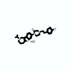 CC(C)N1CCCc2oc3cc(N4CCN(CCc5ccc(Cl)cc5)CC4=O)ccc3c2C1.Cl